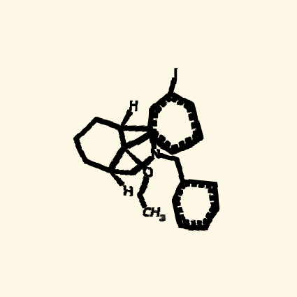 CCO[C@]1(c2cccc(I)c2)[C@@H]2CCC[C@H]1CN(Cc1ccccc1)C2